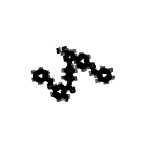 O=C(c1cc(OCc2ccccc2)ccc1F)N1CC2(CC(n3nc(C(F)(F)F)cc3-c3ccc(OCc4ccccc4)nc3)C2)C1